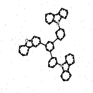 c1cc(-c2cc(-c3cccc(-n4c5ccccc5c5ccccc54)c3)cc(-c3ccc4oc5ccccc5c4c3)c2)cc(-n2c3ccccc3c3ccccc32)c1